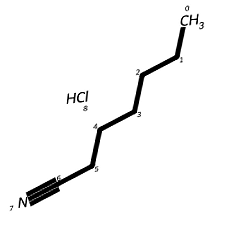 CCCCCCC#N.Cl